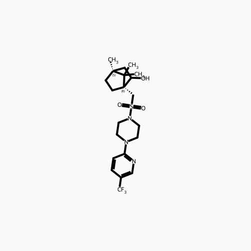 CC1(C)[C@@]2(C)CC[C@]1(CS(=O)(=O)N1CCN(c3ccc(C(F)(F)F)cn3)CC1)C(O)C2